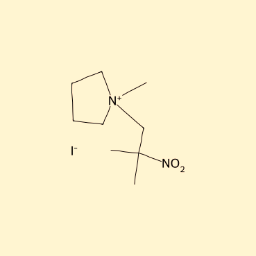 CC(C)(C[N+]1(C)CCCC1)[N+](=O)[O-].[I-]